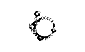 C[C@H]1Nc2ncnc3cc(c(OC4CCOC4)cc23)OCCCCCN2CC(CCC(F)(F)c3cccc1c3F)C2